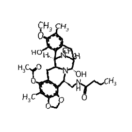 CCCC(=O)NC[C@H]1c2c(c(OC(C)=O)c(C)c3c2OCO3)CC2[C@H]3c4c(cc(C)c(OC)c4O)C[C@H]([C@H](O)N21)N3C